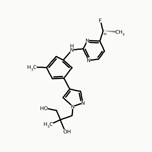 Cc1cc(Nc2nccc([C@@H](C)F)n2)cc(-c2cnn(CC(C)(O)CO)c2)c1